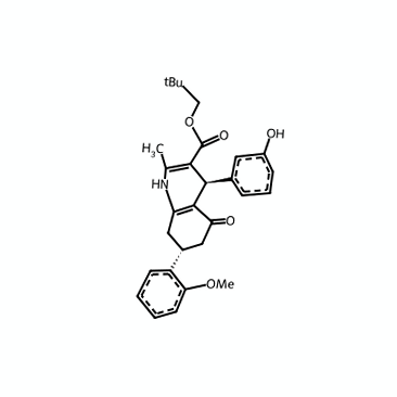 COc1ccccc1[C@H]1CC(=O)C2=C(C1)NC(C)=C(C(=O)OCC(C)(C)C)[C@H]2c1cccc(O)c1